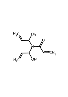 C=CC(=O)N(C(O)C=C)C(O)C=C